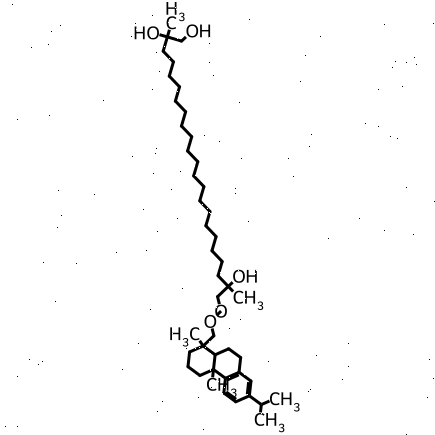 CC(C)c1ccc2c(c1)CCC1C(C)(COOCC(C)(O)CCCCCCCCCCCCCCCCCCCC(C)(O)CO)CCCC21C